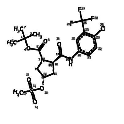 CC(C)(C)OC(=O)N1C[C@@H](OS(C)(=O)=O)C[C@@H]1C(=O)Nc1ccc(Cl)c(C(F)(F)F)c1